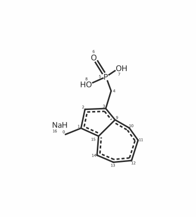 Cc1cc(CP(=O)(O)O)c2cccccc1-2.[NaH]